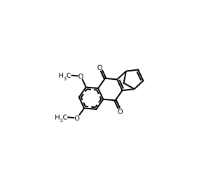 COc1cc(OC)c2c(c1)C(=O)C1=C(C2=O)C2C=CC1C2